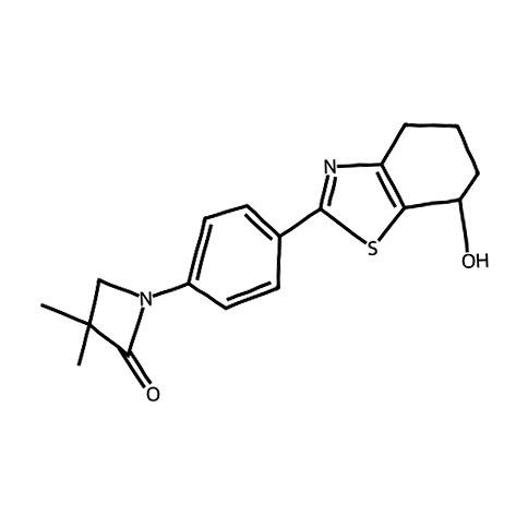 CC1(C)CN(c2ccc(-c3nc4c(s3)C(O)CCC4)cc2)C1=O